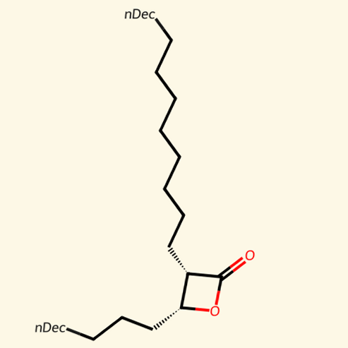 CCCCCCCCCCCCCCCCCC[C@@H]1C(=O)O[C@@H]1CCCCCCCCCCCCC